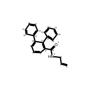 C=CCNC(=O)c1cccc(-c2ccccc2)c1-c1ccccc1